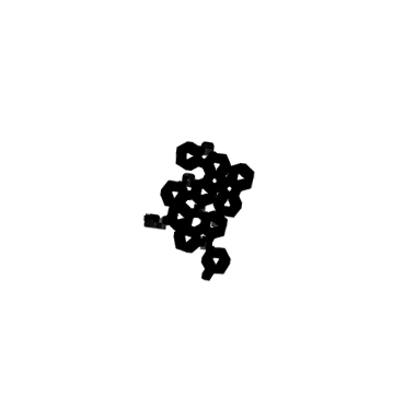 Cc1cccc(-n2c3ccccc3c3c(N(c4ccc(C(C)(C)C)cc4)c4cc5c(c6oc7ccccc7c46)-c4c(ccc6oc7ccccc7c46)C54c5ccccc5-c5ccc(F)cc54)cccc32)c1